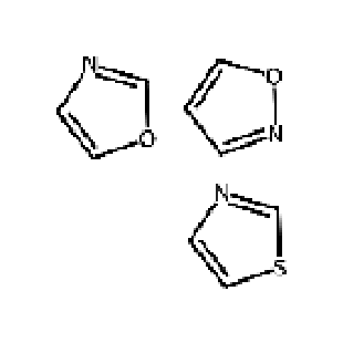 c1cnoc1.c1cocn1.c1cscn1